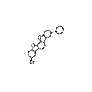 Brc1ccc2oc3c(ccc4c5cc(-c6ccccc6)ccc5oc43)c2c1